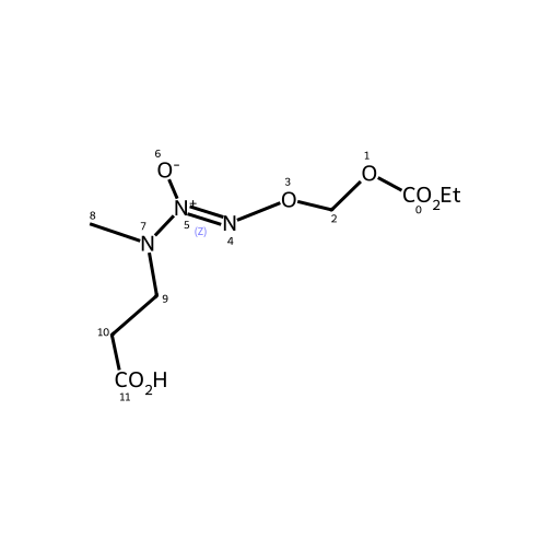 CCOC(=O)OCO/N=[N+](\[O-])N(C)CCC(=O)O